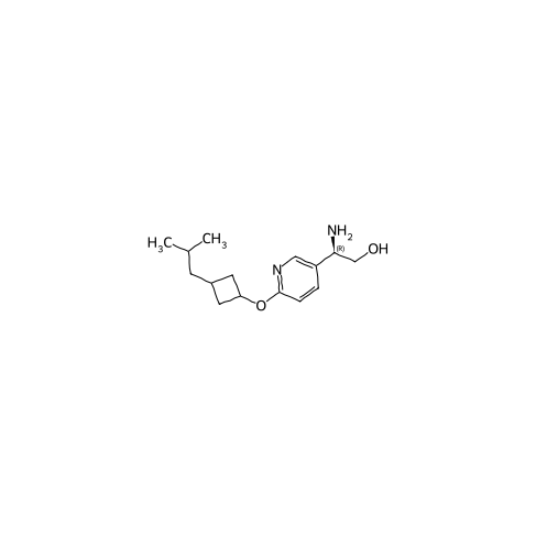 CC(C)CC1CC(Oc2ccc([C@@H](N)CO)cn2)C1